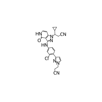 N#CCCn1ccc(-c2ccc(Nc3nn(C(CC#N)C4CC4)c4cc[nH]c(=O)c34)cc2Cl)n1